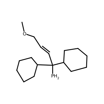 COCC=CC(P)(C1CCCCC1)C1CCCCC1